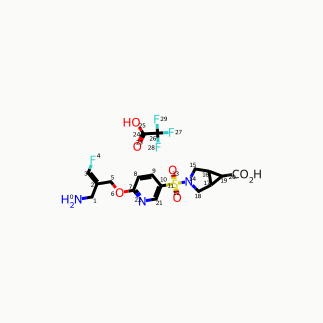 NC/C(=C/F)COc1ccc(S(=O)(=O)N2CC3C(C2)C3C(=O)O)cn1.O=C(O)C(F)(F)F